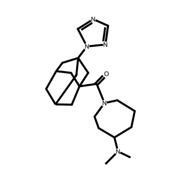 CN(C)C1CCCN(C(=O)C23CC4CC(C2)CC(n2cncn2)(C4)C3)CC1